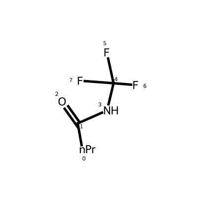 [CH2]CCC(=O)NC(F)(F)F